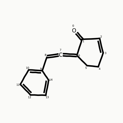 O=C1C=CCCC1=C=Cc1ccccc1